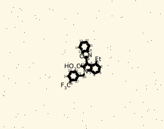 CCc1cccc2c1c(-c1nc3ccccc3o1)c(C(=O)O)n2Cc1cccc(C(F)(F)F)c1